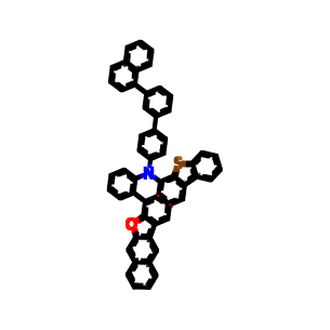 c1cc(-c2ccc(N(c3ccccc3-c3cccc4c3oc3cc5ccccc5cc34)c3cccc4c3sc3ccccc34)cc2)cc(-c2cccc3ccccc23)c1